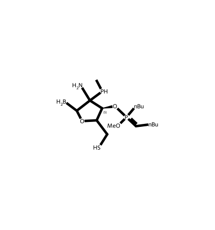 BC1OC(CS)[C@H](OP(=CCCCC)(CCCC)OC)C1(N)PC